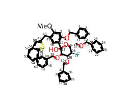 COc1cc(OCc2ccccc2)c(C2(O)O[C@H](COCc3ccccc3)[C@@H](F)[C@H](OCc3ccccc3)[C@H]2OCc2ccccc2)cc1Cc1cc2ccccc2s1